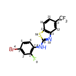 Fc1cc(Br)ccc1Nc1nc2cc(C(F)(F)F)ccc2s1